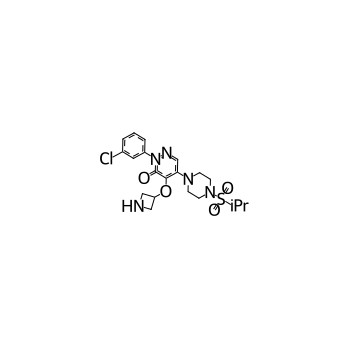 CC(C)S(=O)(=O)N1CCN(c2cnn(-c3cccc(Cl)c3)c(=O)c2OC2CNC2)CC1